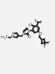 CCn1cc(Cn2ccn(-c3cc(OCC4CC(F)(F)C4)cc(C(F)F)c3Cl)c2=O)cn1